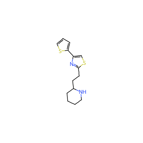 c1csc(-c2csc(CCC3CCCCN3)n2)c1